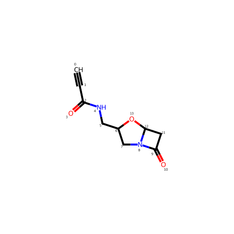 C#CC(=O)NCC1CN2C(=O)CC2O1